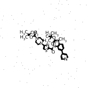 CN(C(=O)OC(C)(C)C)c1ccc(-c2ccncc2)cc1NC(=O)c1nc(N2CCN(C(=O)OC(C)(C)C)CC2)cs1